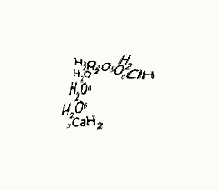 Cl.O.O.O.O.O.O.[CaH2]